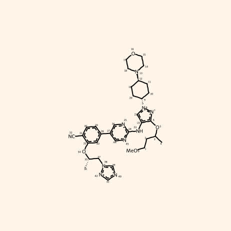 COCCC(C)Oc1nn([C@H]2CC[C@H](N3CCOCC3)CC2)cc1Nc1ncc(-c2ccc(C#N)c(O[C@@H](C)Cn3cncn3)c2)cn1